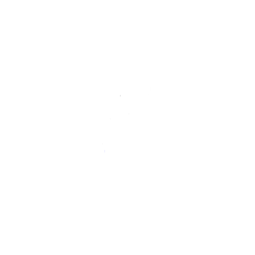 CCC/C=C\C=CC=CC(=O)O